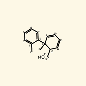 Cc1ccccc1C1(C)C=CC=CC1S(=O)(=O)O